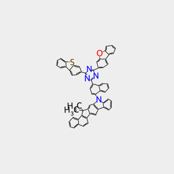 CC1(C)c2cc3c(cc2-c2ccc4ccccc4c21)c1ccccc1n3-c1ccc(-c2nc(-c3ccc4c(c3)oc3ccccc34)nc(-c3ccc4c(c3)sc3ccccc34)n2)c2ccccc12